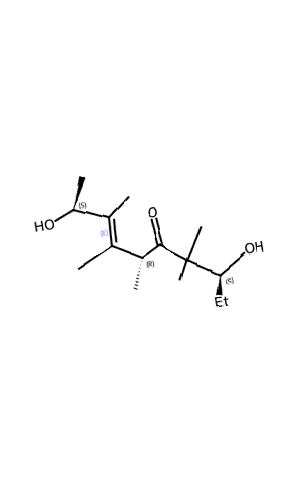 CC[C@H](O)C(C)(C)C(=O)[C@H](C)/C(C)=C(\C)[C@H](C)O